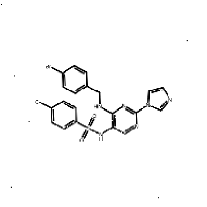 O=S(=O)(Nc1cnc(-n2ccnc2)nc1NCc1ccc(Br)cc1)c1ccc(Cl)cc1